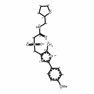 COc1ccc(-c2nc(CS(=O)(=O)CC(=O)NCC3CCCO3)c(C)o2)cc1